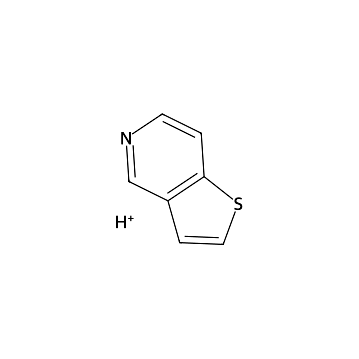 [H+].c1cc2sccc2cn1